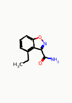 CCc1cccc2onc(C(N)=O)c12